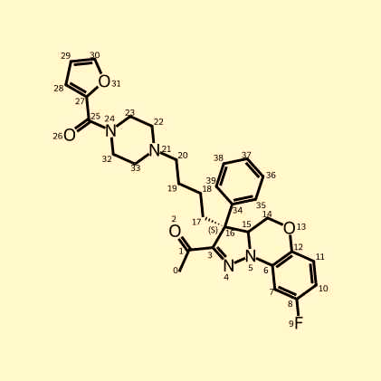 CC(=O)C1=NN2c3cc(F)ccc3OCC2[C@]1(CCCCN1CCN(C(=O)c2ccco2)CC1)c1ccccc1